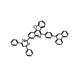 c1ccc(-c2cc(-c3ccccc3)nc(-c3ccc4c(c3)nc(-c3ccc(-c5cc6ccccc6c6ccccc56)cc3)c3c5ccccc5oc43)n2)cc1